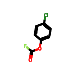 O=C(F)Oc1ccc(Cl)cc1